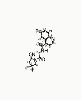 N#CC1CC(F)(F)CN1C(=O)CNC(=O)c1ccnc2ccc(F)cc12